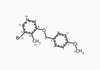 COc1ccc(COc2cncc(Br)c2C)cc1